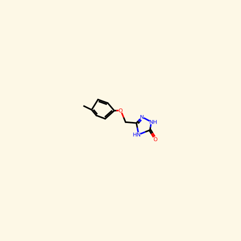 Cc1ccc(OCc2n[nH]c(=O)[nH]2)cc1